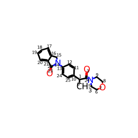 CC(C(=O)N1CCOCC1)c1ccc(N2Cc3ccccc3C2=O)cc1